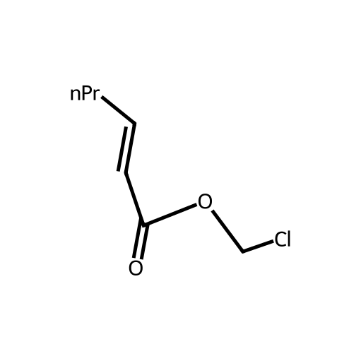 CCCC=CC(=O)OCCl